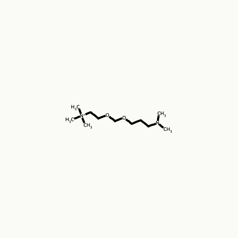 CN(C)CCCOCOCC[N+](C)(C)C